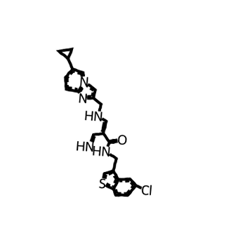 N=C/C(=C\NCc1cn2cc(C3CC3)ccc2n1)C(=O)NCc1csc2ccc(Cl)cc12